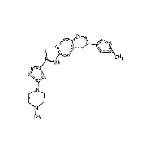 CN1CCN(c2ncc(C(=O)Nc3cc4cc(-c5cnn(C)c5)cnc4cn3)s2)CC1